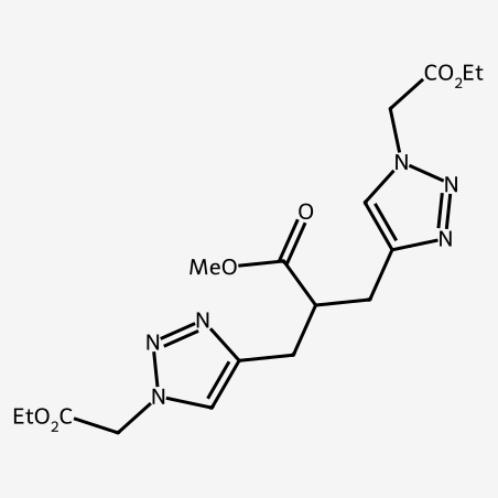 CCOC(=O)Cn1cc(CC(Cc2cn(CC(=O)OCC)nn2)C(=O)OC)nn1